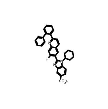 O=C(O)c1ccc2c(c1)nc(-c1cc3ccc(-c4ccccc4-c4ccccc4)nc3cc1F)n2C1CCCCC1